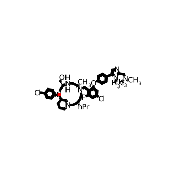 CCC[C@@H]1CCN(Cc2c(F)cc(Cl)cc2Oc2ccc(-c3cnc(CN(C)C)n3C)cc2)[C@@H](C)CN[C@H](CO)CN[C@@]2(Cc3ccc(Cl)cc3)CCCN(C1)C2